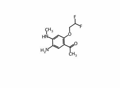 CNc1cc(OCC(F)F)c(C(C)=O)cc1N